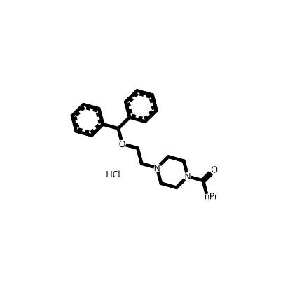 CCCC(=O)N1CCN(CCOC(c2ccccc2)c2ccccc2)CC1.Cl